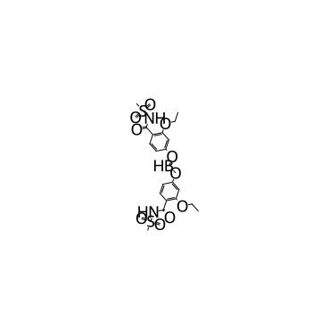 CCOc1cc(OBOc2ccc(C(=O)NS(C)(=O)=O)c(OCC)c2)ccc1C(=O)NS(C)(=O)=O